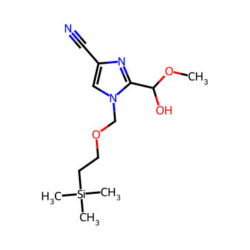 COC(O)c1nc(C#N)cn1COCC[Si](C)(C)C